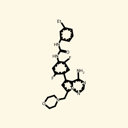 CCc1cccc(NC(=O)Nc2cc(F)c(-c3cc(CN4CCOCC4)n4ncnc(N)c34)cc2F)c1